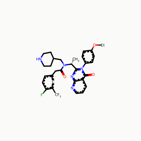 CCOc1ccc(-n2c([C@@H](C)N(CC3CCNCC3)C(=O)Cc3ccc(F)c(C(F)(F)F)c3)nc3ncccc3c2=O)cc1